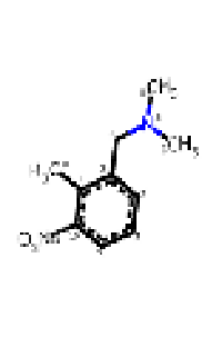 Cc1c(CN(C)C)cccc1[N+](=O)[O-]